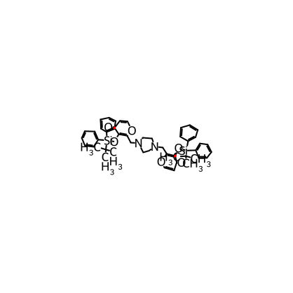 CC(C)(C)[Si](Oc1c(CN2CCN(Cc3occc(=O)c3O[Si](c3ccccc3)(c3ccccc3)C(C)(C)C)CC2)occc1=O)(c1ccccc1)c1ccccc1